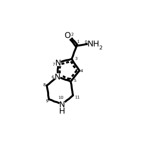 NC(=O)c1cc2n(n1)CCNC2